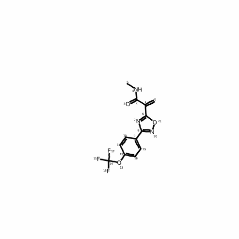 C=C(C(=O)NC)c1nc(-c2ccc(OC(F)(F)F)cc2)no1